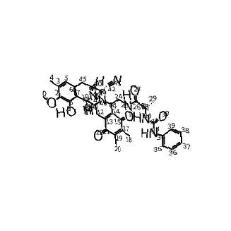 COc1c(C)cc2c(c1O)[C@H]1[C@@H]3CC4=C(C(=O)C(C)=C(C)C4=O)[C@H](CNC(=O)[C@H](C)NC(=O)Nc4ccccc4)N3[C@@H](C#N)[C@@H](C2)N1C